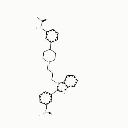 CC(=O)Nc1cccc(C2CCN(CCCn3c(-c4cccc([N+](=O)[O-])c4)nc4ccccc43)CC2)c1